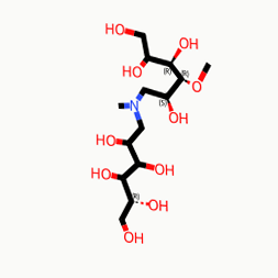 CO[C@@H]([C@H](O)C(O)CO)[C@@H](O)CN(C)CC(O)C(O)C(O)[C@H](O)CO